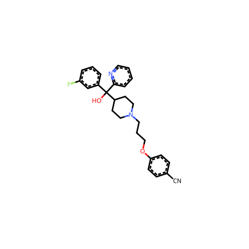 N#Cc1ccc(OCCCN2CCC(C(O)(c3cccc(F)c3)c3ccccn3)CC2)cc1